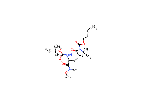 CCCCOC(=O)N1C(=O)[C@@H](C[C@H](NC(=O)OC(C)(C)C)C(=O)N(C)OC)CC1(C)C